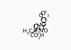 CC(Cc1cccc(-n2c(C(N)=O)cc3ccc(OC(F)(F)F)cc32)n1)C(=O)O